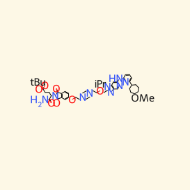 COC1CCCC(c2cccc(Nc3cc4c(cn3)nc(COCCN3CCN(CCOc5ccc6c(c5)C(=O)N(C(CCC(=O)OC(C)(C)C)C(N)=O)C6=O)CC3)n4C(C)C)n2)CC1